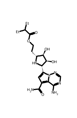 CCC(CC)C(=O)OCC[C@H]1N[C@@H](c2cc(C(N)=O)c3c(N)ncnn23)[C@H](O)[C@@H]1O